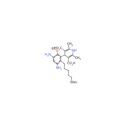 CCCCCCCCCCCCCCCc1c(N)cc(N)c(OCC)c1C1C(C(=O)O)=C(C)NC(C)=C1C(=O)O